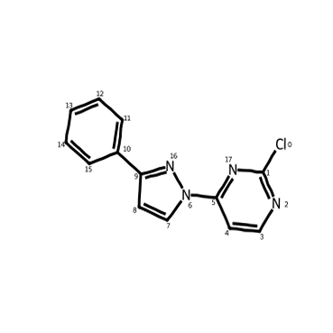 Clc1nccc(-n2ccc(-c3ccccc3)n2)n1